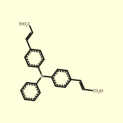 CCOC(=O)C=Cc1ccc(N(c2ccccc2)c2ccc(C=CC(=O)OCC)cc2)cc1